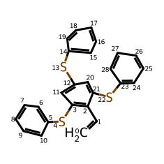 C=Cc1c(Sc2ccccc2)cc(Sc2ccccc2)cc1Sc1ccccc1